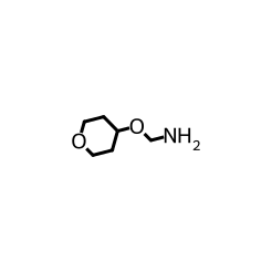 NCOC1CCOCC1